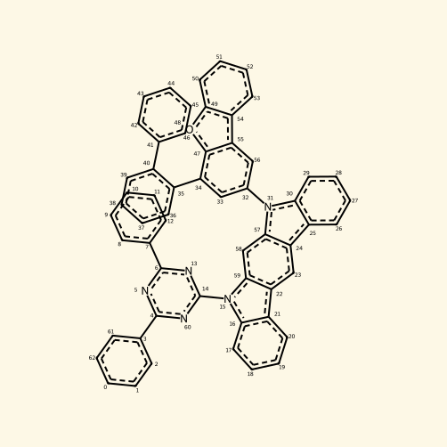 c1ccc(-c2nc(-c3ccccc3)nc(-n3c4ccccc4c4cc5c6ccccc6n(-c6cc(-c7ccccc7-c7ccccc7)c7oc8ccccc8c7c6)c5cc43)n2)cc1